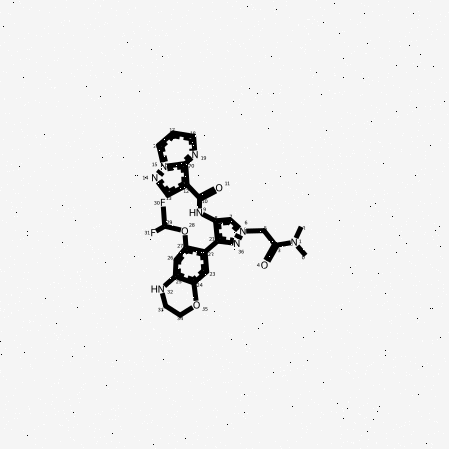 CN(C)C(=O)Cn1cc(NC(=O)c2cnn3cccnc23)c(-c2cc3c(cc2OC(F)F)NCCO3)n1